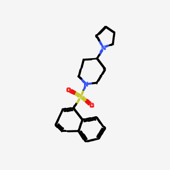 O=S(=O)(c1cccc2ccccc12)N1CCC(N2CCCC2)CC1